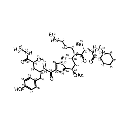 CCNCOCN(C(=O)[C@@H](NC(=O)[C@H]1CCCCN1C)[C@@H](C)CC)[C@H](C[C@@H](OC(C)=O)c1nc(C(=O)N[C@@H](Cc2ccc(O)cc2)C[C@H](C)C(=O)NN)cs1)C(C)C